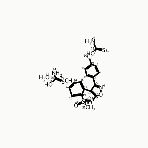 C.CCCc1onc(-c2ccc(Cl)cc2)c1-c1ccccc1S(C)(=O)=O.NC(O)=S.NC(O)=S.O